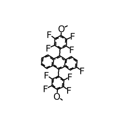 COc1c(F)c(F)c(-c2c3ccccc3c(-c3c(F)c(F)c(OC)c(F)c3F)c3cc(F)ccc23)c(F)c1F